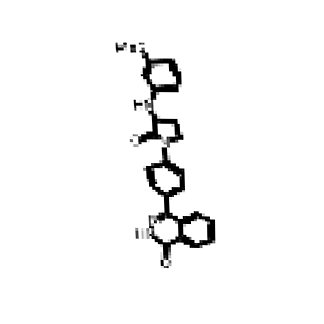 CSc1cccc(NC2CCN(c3ccc(-c4n[nH]c(=O)c5ccccc45)cc3)C2=O)c1